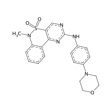 CN1c2ccccc2-c2nc(Nc3ccc(N4CCOCC4)cc3)ncc2S1(=O)=O